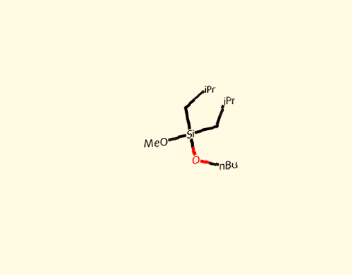 CCCCO[Si](CC(C)C)(CC(C)C)OC